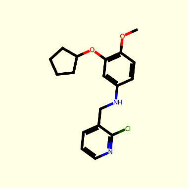 COc1ccc(NCc2cccnc2Cl)cc1OC1CCCC1